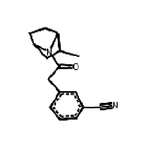 CC1CC2CCC1N2C(=O)Cc1cccc(C#N)c1